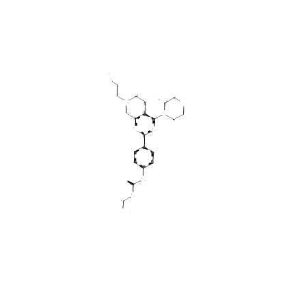 CCNC(=O)Nc1ccc(-c2nc3c(c(N4CCOC[C@@H]4C)n2)CCN(CCO)C3)cc1